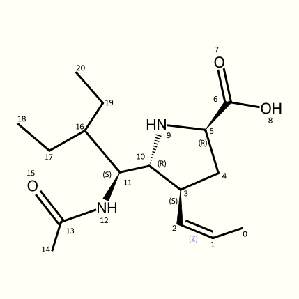 C/C=C\[C@@H]1C[C@H](C(=O)O)N[C@H]1[C@@H](NC(C)=O)C(CC)CC